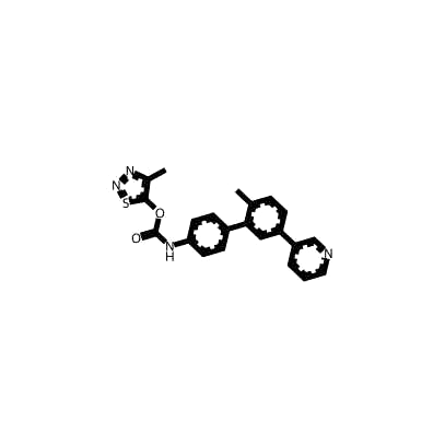 Cc1ccc(-c2cccnc2)cc1-c1ccc(NC(=O)Oc2snnc2C)cc1